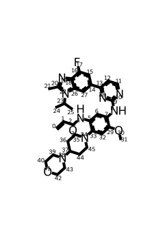 C=CC(=O)Nc1cc(Nc2nccc(-c3cc(F)c4nc(C)n(C(C)C)c4c3)n2)c(OC)cc1N1CCC(N2CCOCC2)CC1